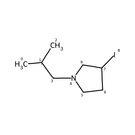 C[C](C)CN1CCC(I)C1